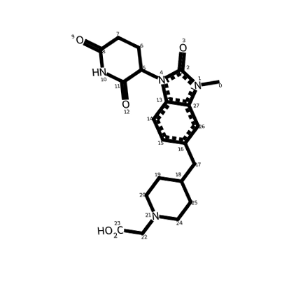 Cn1c(=O)n(C2CCC(=O)NC2=O)c2ccc(CC3CCN(CC(=O)O)CC3)cc21